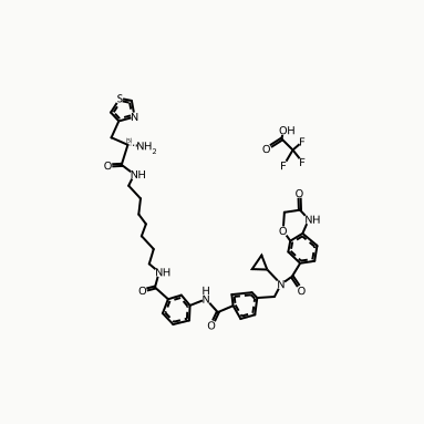 N[C@@H](Cc1cscn1)C(=O)NCCCCCCCNC(=O)c1cccc(NC(=O)c2ccc(CN(C(=O)c3ccc4c(c3)OCC(=O)N4)C3CC3)cc2)c1.O=C(O)C(F)(F)F